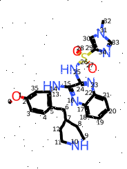 COc1ccc(CC2CCNCC2)c(Nc2nc3ccccc3nc2NS(=O)(=O)c2cn(C)cn2)c1